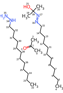 CC(C)=O.CCCCCCCCCCCC/N=N/C(C)(C)O.CCCCCCCCCCCCNN